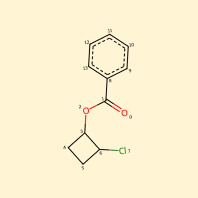 O=C(OC1CCC1Cl)c1ccccc1